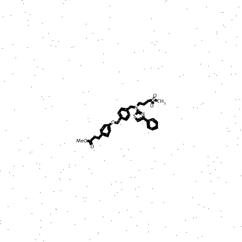 COC(=O)CCc1ccc(OCc2ccc(CN(CCCS(C)(=O)=O)c3nc(-c4ccccc4)cs3)cc2)cc1